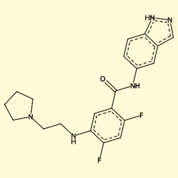 O=C(Nc1ccc2[nH]ncc2c1)c1cc(NCCN2CCCC2)c(F)cc1F